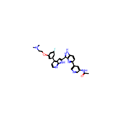 CC(=O)Nc1cncc(-c2ccc3[nH]nc(-c4cc5c(-c6cc(F)cc(OCCN(C)C)c6)ccnc5[nH]4)c3n2)c1